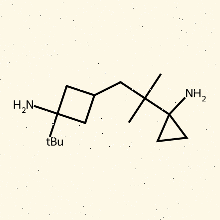 CC(C)(C)C1(N)CC(CC(C)(C)C2(N)CC2)C1